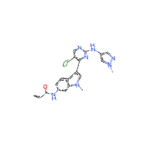 C=CC(=O)Nc1ccc2c(-c3nc(Nc4cnn(C)c4)ncc3Cl)cn(C)c2c1